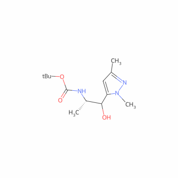 Cc1cc(C(O)[C@H](C)NC(=O)OC(C)(C)C)n(C)n1